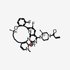 C=CC(=O)N1CCN(c2nc(=O)n3c4nc(c(F)cc24)-c2c(F)cccc2O[C@H](C)CCCC2=C3C(C(C)C)N(C)C=C2)[C@@H](C)C1